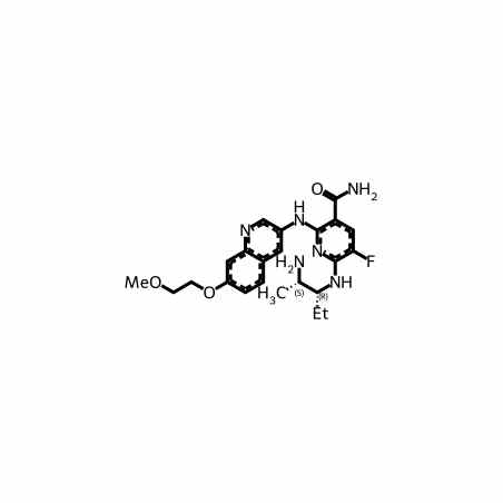 CC[C@@H](Nc1nc(Nc2cnc3cc(OCCOC)ccc3c2)c(C(N)=O)cc1F)[C@H](C)N